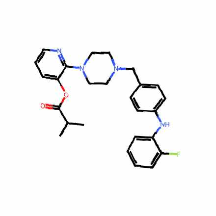 CC(C)C(=O)Oc1cccnc1N1CCN(Cc2ccc(Nc3ccccc3F)cc2)CC1